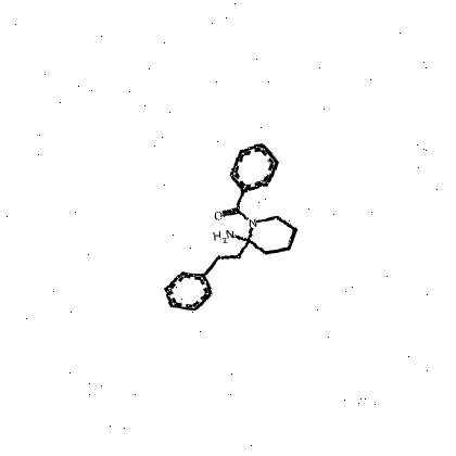 NC1(CCc2ccccc2)CCCCN1C(=O)c1ccccc1